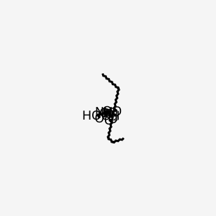 CCCCC/C=C\C/C=C\CCCCCCCC(=O)O[C@H](COC(=O)CCCCCCCCC/C=C\CCCCCCCCCC)COP(=O)(O)OC[C@H](N)C(=O)O